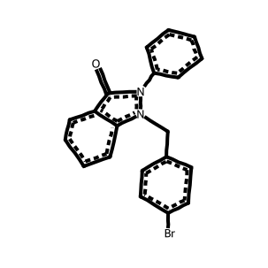 O=c1c2ccccc2n(Cc2ccc(Br)cc2)n1-c1ccccc1